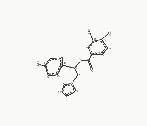 O=C(SC(Cn1ccnc1)c1ccc(Cl)cc1)c1ccc(Cl)c(Cl)c1